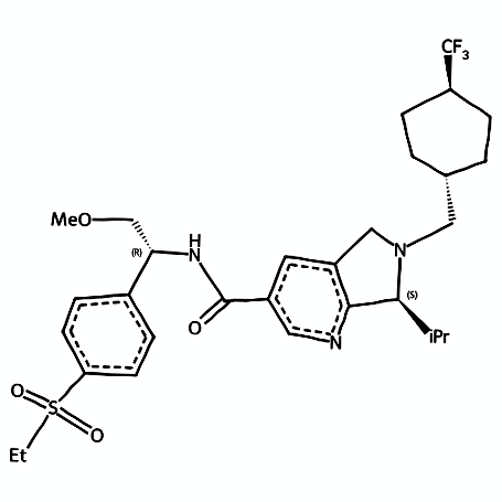 CCS(=O)(=O)c1ccc([C@H](COC)NC(=O)c2cnc3c(c2)CN(C[C@H]2CC[C@H](C(F)(F)F)CC2)[C@H]3C(C)C)cc1